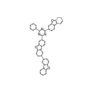 C1=Cc2c(oc3cc(-c4nc(-c5ccccc5)nc(-c5ccc6c(c5)oc5ccc(-c7ccc8oc9ccccc9c8c7)cc56)n4)ccc23)CC1